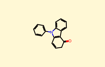 O=C1CC=Cc2c1c1ccccc1n2-c1ccccc1